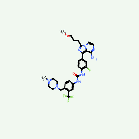 COCCCc1nc(-c2ccc(NC(=O)Nc3ccc(CN4CCN(C)CC4)c(C(F)(F)F)c3)c(F)c2)c2c(N)nccn12